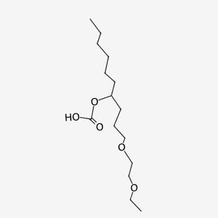 CCCCCCC(CCCOCCOCC)OC(=O)O